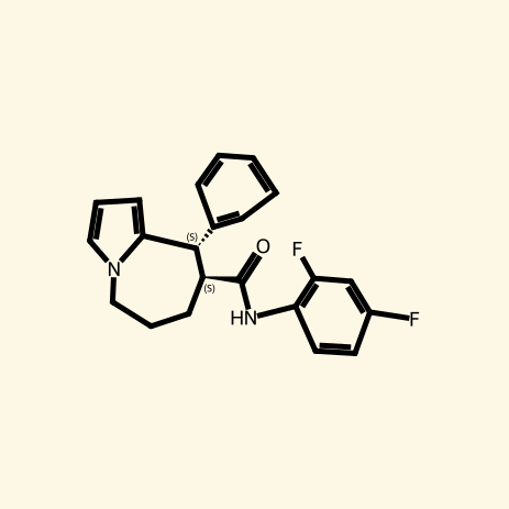 O=C(Nc1ccc(F)cc1F)[C@H]1CCCn2cccc2[C@@H]1c1ccccc1